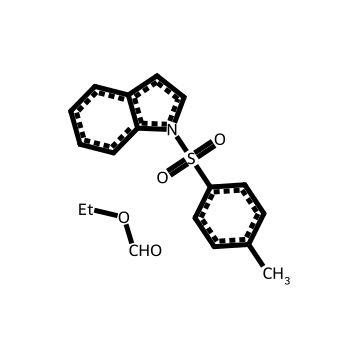 CCOC=O.Cc1ccc(S(=O)(=O)n2ccc3ccccc32)cc1